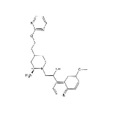 COc1ccc2nccc(C(O)CN3CCC(CCOc4ncccn4)C[C@@H]3N)c2c1